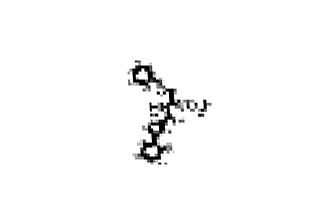 O=C(NC(COCc1ccccc1)C(=O)O)c1cc(-c2ccccc2F)co1